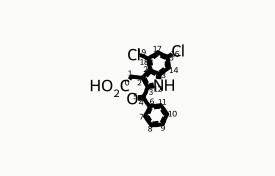 O=C(O)Cc1c(C(=O)c2ccccc2)[nH]c2cc(Cl)cc(Cl)c12